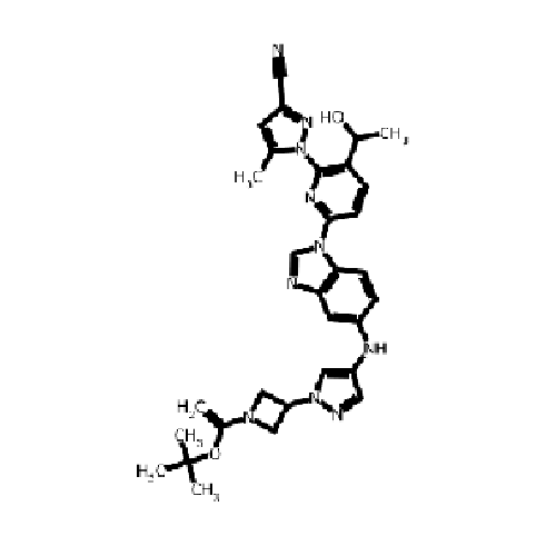 C=C(OC(C)(C)C)N1CC(n2cc(Nc3ccc4c(c3)ncn4-c3ccc(C(C)O)c(-n4nc(C#N)cc4C)n3)cn2)C1